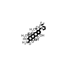 CN(C)c1c(CN2CCC[C@H]2C(F)(F)F)cc(O)c2c1C[C@H]1C[C@H]3[C@H](N(C)C)C(O)=C(C(N)=O)C(=O)[C@@]3(O)C(O)=C1C2=O